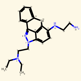 CCN(CC)CCn1nc2c3c(c(NCCN)ccc31)[Se]c1ccccc1-2